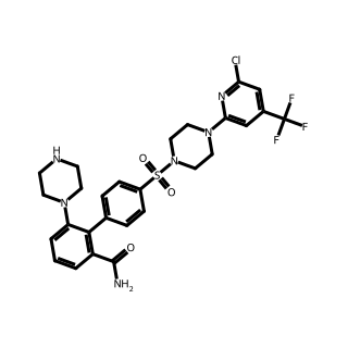 NC(=O)c1cccc(N2CCNCC2)c1-c1ccc(S(=O)(=O)N2CCN(c3cc(C(F)(F)F)cc(Cl)n3)CC2)cc1